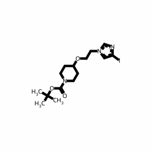 CC(C)(C)OC(=O)N1CCC(OCCn2cnc(I)c2)CC1